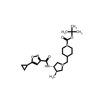 C[C@@H]1CN(CC2CCN(C(=O)OC(C)(C)C)CC2)C[C@H]1NC(=O)c1cc(C2CC2)on1